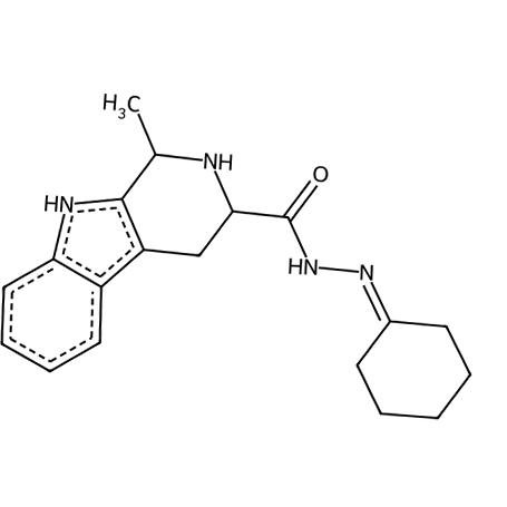 CC1NC(C(=O)NN=C2CCCCC2)Cc2c1[nH]c1ccccc21